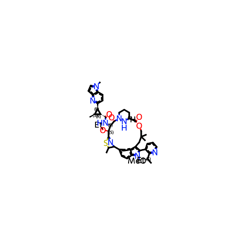 CCO[C@@H]1C2=NC(c3ccc4c(c3)c(c(-c3cccnc3[C@H](C)OC)n4CC)CC(C)(C)COC(=O)[C@@H]3CCCN(N3)C(=O)[C@H]1NC(=O)[C@@H]1[C@@H](C)[C@H]1c1ccc3c(ccn3C)n1)C(C)S2